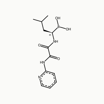 CC(C)C[C@H](NC(=O)C(=O)Nc1ccccn1)B(O)O